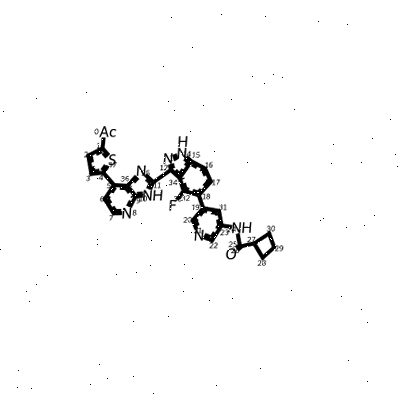 CC(=O)c1ccc(-c2ccnc3[nH]c(-c4n[nH]c5ccc(-c6cncc(NC(=O)C7CCC7)c6)c(F)c45)nc23)s1